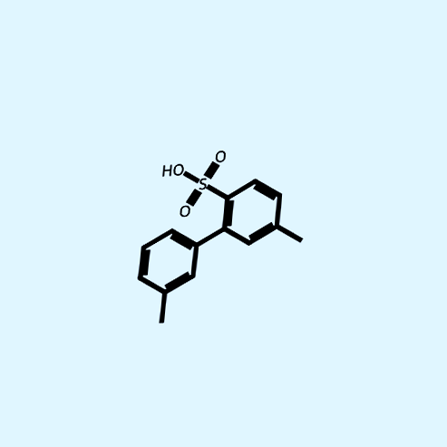 Cc1cccc(-c2cc(C)ccc2S(=O)(=O)O)c1